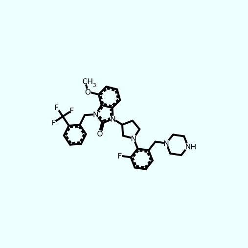 COc1cccc2c1n(Cc1ccccc1C(F)(F)F)c(=O)n2C1CCN(c2c(F)cccc2CN2CCNCC2)C1